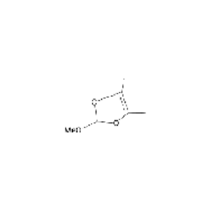 COC1OC(C)=C(C)O1